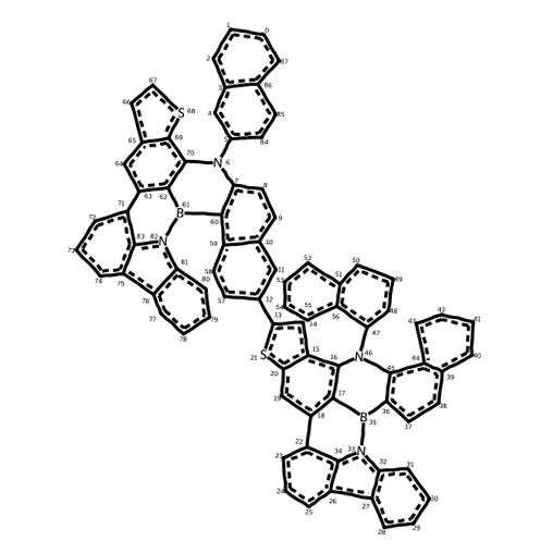 c1ccc2cc(N3c4ccc5cc(-c6cc7c8c9c(cc7s6)-c6cccc7c%10ccccc%10n(c67)B9c6ccc7ccccc7c6N8c6cccc7ccccc67)ccc5c4B4c5c(cc6ccsc6c53)-c3cccc5c6ccccc6n4c35)ccc2c1